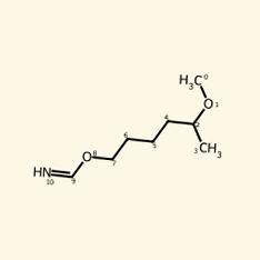 COC(C)CCCCOC=N